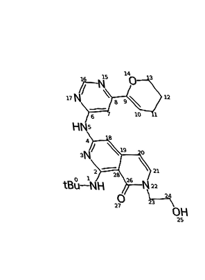 CC(C)(C)Nc1nc(Nc2cc(C3=CCCCO3)ncn2)cc2ccn(CCO)c(=O)c12